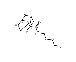 CCCCCOC(=O)C12CC3CC(CC(C3)C1)C2